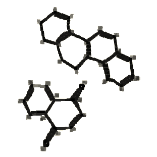 C1=CC2=C(CC1)CCc1c2ccc2ccccc12.O=C1C=CC(=O)c2ccccc21